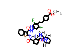 COC(=O)c1ccc(CCc2c(F)cc(NC(=O)c3c(NC(=O)c4cccc(CN5C[C@H]6CC[C@@H](C5)N6C(=O)CN(C)C)c4)sc4c3CCCC4)cc2F)cc1